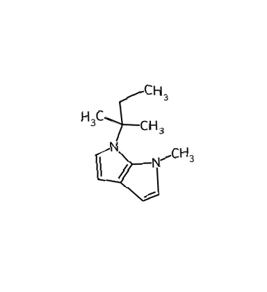 CCC(C)(C)n1ccc2ccn(C)c21